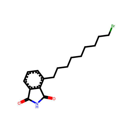 O=C1NC(=O)c2c(CCCCCCCCCBr)cccc21